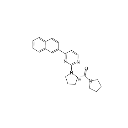 O=C([C@@H]1CCCN1c1nccc(-c2ccc3ccccc3c2)n1)N1CCCC1